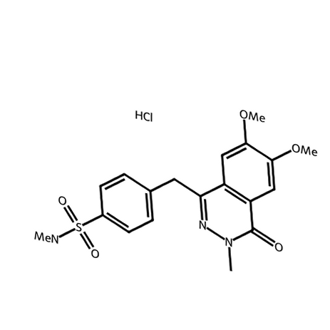 CNS(=O)(=O)c1ccc(Cc2nn(C)c(=O)c3cc(OC)c(OC)cc23)cc1.Cl